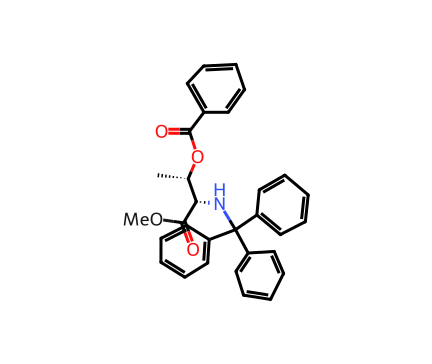 COC(=O)[C@@H](NC(c1ccccc1)(c1ccccc1)c1ccccc1)[C@H](C)OC(=O)c1ccccc1